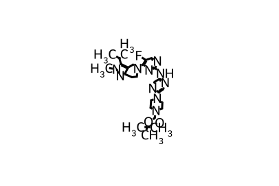 CC(C)c1c2c(nn1C)CCN(c1nc(Nc3cnc(N4CCN(C(=O)OC(C)(C)C)CC4)cn3)ncc1F)C2